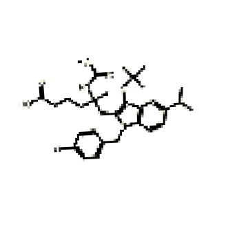 CC(C)c1ccc2c(c1)c(SC(C)(C)C)c(CC(C)(CCCC(=O)O)NC(N)=O)n2Cc1ccc(Cl)cc1